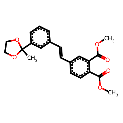 COC(=O)c1ccc(/C=C/c2cccc(C3(C)OCCO3)c2)cc1C(=O)OC